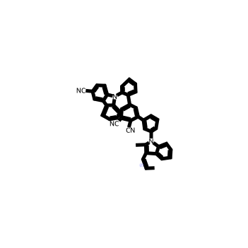 C/C=C\c1c(C)n(-c2cccc(-c3cc(-c4ccccc4-n4c5ccccc5c5cc(C#N)ccc54)cc(C#N)c3C#N)c2)c2ccccc12